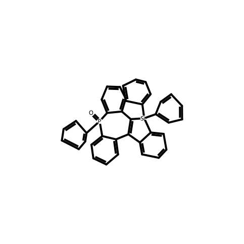 O=P1(c2ccccc2)c2ccccc2C2=C(c3ccccc31)[Si](c1ccccc1)(c1ccccc1)c1ccccc12